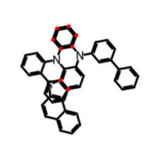 c1ccc(-c2cccc(N(c3ccccc3)c3ccc4c(sc5ccc6ccccc6c54)c3N(c3ccccc3)c3ccccc3-c3ccccc3)c2)cc1